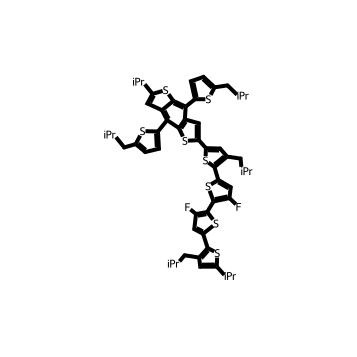 CC(C)Cc1ccc(-c2c3cc(C(C)C)sc3c(-c3ccc(CC(C)C)s3)c3cc(-c4cc(CC(C)C)c(-c5cc(F)c(-c6sc(-c7sc(C(C)C)cc7CC(C)C)cc6F)s5)s4)sc23)s1